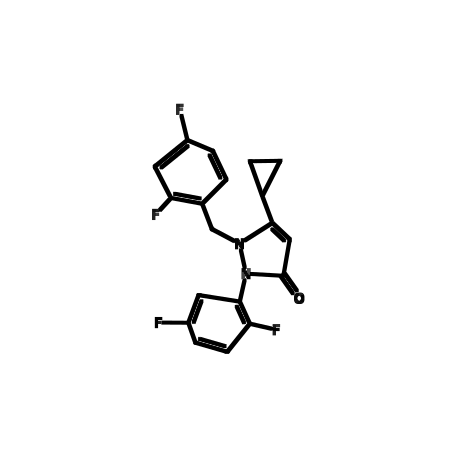 O=c1cc(C2CC2)n(Cc2ccc(F)cc2F)n1-c1cc(F)ccc1F